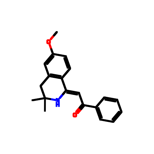 COc1ccc2c(c1)CC(C)(C)NC2=CC(=O)c1ccccc1